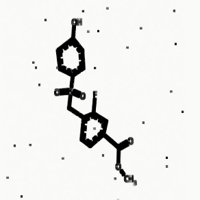 COC(=O)c1ccc(CS(=O)(=O)c2ccc(O)cc2)c(F)c1